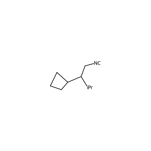 [C-]#[N+]CC(C(C)C)C1CCC1